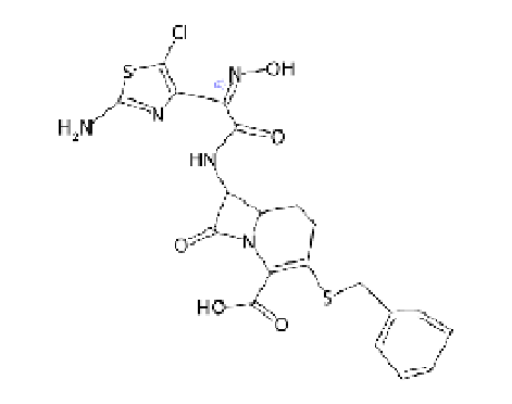 Nc1nc(/C(=N/O)C(=O)NC2C(=O)N3C(C(=O)O)=C(SCc4ccccc4)CCC23)c(Cl)s1